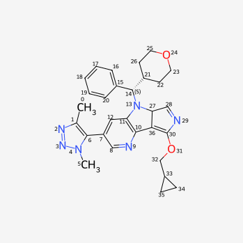 Cc1nnn(C)c1-c1cnc2c(c1)N([C@H](c1ccccc1)C1CCOCC1)C1C=NC(OCC3CC3)=C21